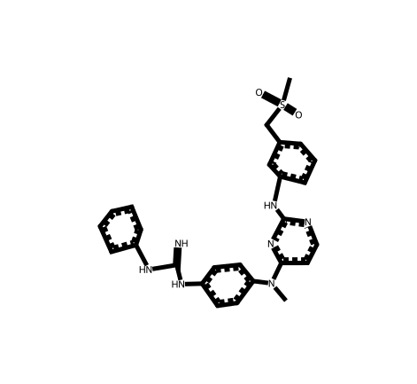 CN(c1ccc(NC(=N)Nc2ccccc2)cc1)c1ccnc(Nc2cccc(CS(C)(=O)=O)c2)n1